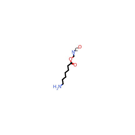 NCCCCCCC(=O)OCN=C=O